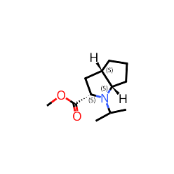 COC(=O)[C@@H]1C[C@@H]2CCC[C@@H]2N1C(C)C